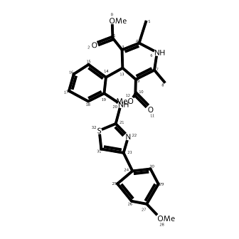 COC(=O)C1=C(C)NC(C)=C(C(=O)OC)C1c1ccccc1Nc1nc(-c2ccc(OC)cc2)cs1